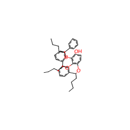 CCCCC(Oc1ccc(O)c(OC(CCCC)c2ccccc2)c1OC(CCCC)c1ccccc1)c1ccccc1